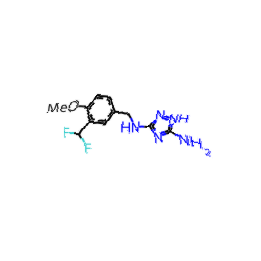 COc1ccc(CNc2n[nH]c(N)n2)cc1C(F)F